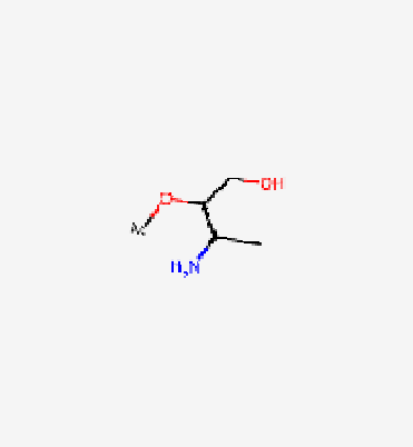 CC(=O)OC(CO)C(C)N